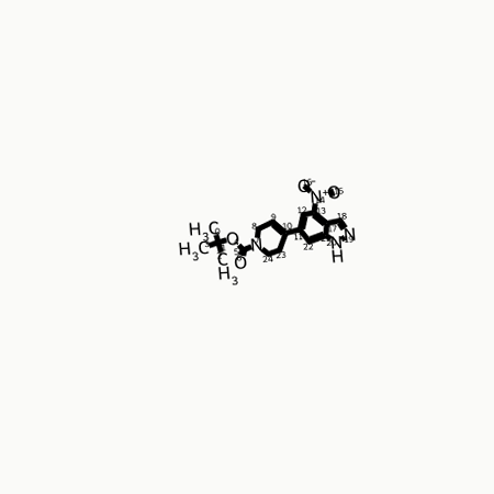 CC(C)(C)OC(=O)N1CC=C(c2cc([N+](=O)[O-])c3cn[nH]c3c2)CC1